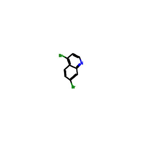 Brc1ccc2c(Br)ccnc2c1